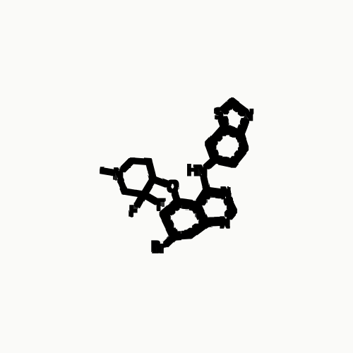 CN1CCC(Oc2cc(Br)cc3ncnc(Nc4ccc5ncsc5c4)c23)C(F)(F)C1